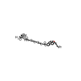 CC(C)CCC[C@@H](C)C1CCC2[C@@H]3CC=C4CC(OC(=O)CCOCCOCCOCCOCCNC(=O)CSC[C@H](NC(C)(C)C(C)(C)C)C(N)=O)CC[C@]4(C)C3CC[C@@]21C